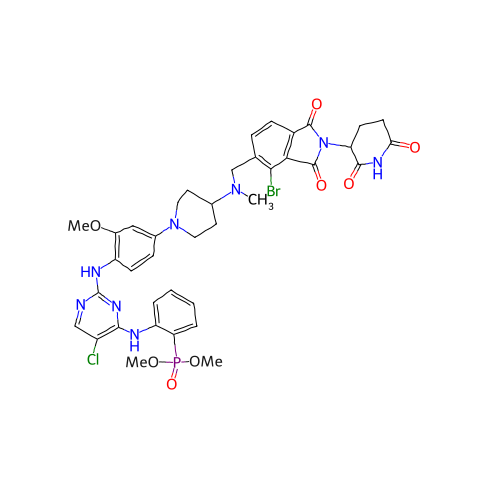 COc1cc(N2CCC(N(C)Cc3ccc4c(c3Br)C(=O)N(C3CCC(=O)NC3=O)C4=O)CC2)ccc1Nc1ncc(Cl)c(Nc2ccccc2P(=O)(OC)OC)n1